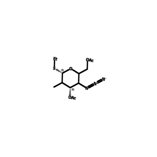 CCS[C@@H]1OC(COC(C)=O)C(N=[N+]=[N-])[C@H](OC(C)=O)C1C